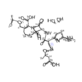 CC(=O)OCC1=C(C(=O)O)N2C(=O)C(NC(=O)/C(=N\OC(C)CC(=O)O)c3csc(N)n3)[C@@H]2SC1.Cl.Cl